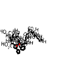 C[C@H](NC(=O)[C@H](CC(=O)O)NC(=O)[C@H](CO)NC(=O)[C@@](F)(NC(=O)[C@H](Cc1ccccc1)NC(=O)[C@@H](NC(=O)CNC(=O)[C@H](CCC(=O)O)NC(=O)C(C)(C)NC(=O)[C@@H](N)Cc1c[nH]cn1)[C@@H](C)O)[C@@H](C)O)C(=O)N[C@@H](Cc1ccc(-c2ccccc2)cc1)C(=O)O